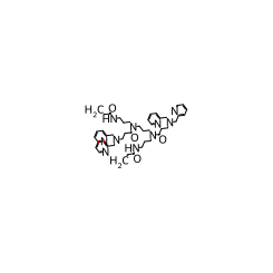 C=CC(=O)NCCCN(CCCN(CCCNC(=O)C=C)C(=O)CCN(Cc1ccccn1)Cc1ccccn1)C(=O)CCN(Cc1ccccn1)Cc1ccccn1